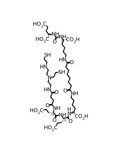 O=C(O)CC[C@H](NC(=O)N[C@@H](CCCCNC(=O)CCCCCCC(=O)NCCCC[C@@H](NC(=O)[C@H](CCC(=O)O)NC(=O)[C@H](CCC(=O)O)NC(=O)CCC(=O)NCCN(CCS)CCNCCS)C(=O)O)C(=O)O)C(=O)O